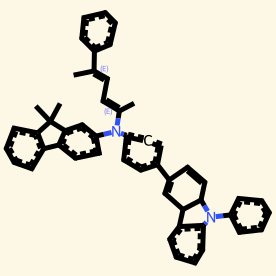 C/C(=C\C=C(/C)N(c1ccc(C2=CC3c4ccccc4N(c4ccccc4)C3C=C2)cc1)c1ccc2c(c1)C(C)(C)c1ccccc1-2)c1ccccc1